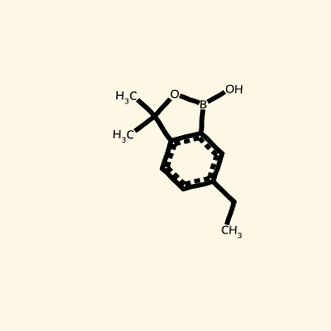 CCc1ccc2c(c1)B(O)OC2(C)C